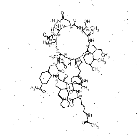 CCC(C[C@@H]1NC(=O)[C@H]([C@@H](C)O)NC(=O)[C@H](CC(N)=O)NC(=O)[C@@H](NC(C)=O)C(C)(C)SSC(C)(C)[C@@H](C(=O)N[C@@H](CC2CCC(C(N)=O)CC2)C(=O)N[C@@H](CC2C=C3CCCCC3CC2)C(=O)NC2(C(=O)N[C@@H](CCCCNC(C)=O)C(N)=O)CCOCC2)NC(=O)[C@H](CCCCNC(C)=O)NC1=O)C1CCCC(C)C1C